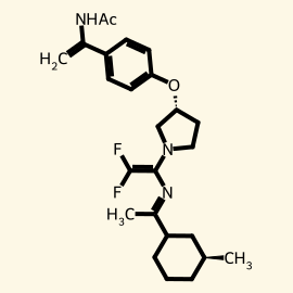 C=C(NC(C)=O)c1ccc(O[C@@H]2CCN(C(/N=C(\C)C3CCC[C@H](C)C3)=C(F)F)C2)cc1